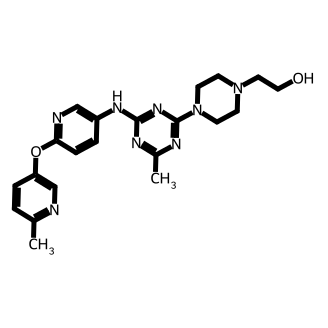 Cc1ccc(Oc2ccc(Nc3nc(C)nc(N4CCN(CCO)CC4)n3)cn2)cn1